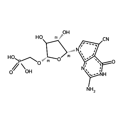 N#Cc1cn([C@@H]2O[C@H](OCP(=O)(O)O)C(O)[C@@H]2O)c2nc(N)[nH]c(=O)c12